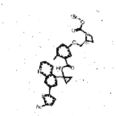 CC(=O)c1ccc(-c2cc(C3(NC(=O)c4cc(OC[C@@H]5CCN5C(=O)OC(C)(C)C)ccc4C)CC3)c3cccnc3c2)s1